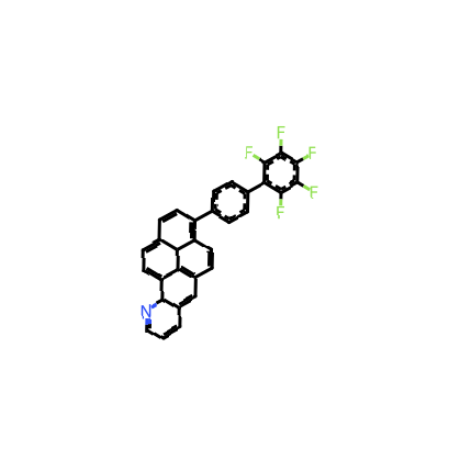 Fc1c(F)c(F)c(-c2ccc(C3=C4C=CC5=C6C(=CC=C(C=C3)C46)C3N=CC=CC3=C5)cc2)c(F)c1F